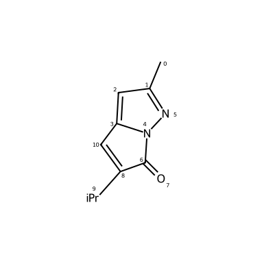 Cc1cc2n(n1)C(=O)C(C(C)C)=C2